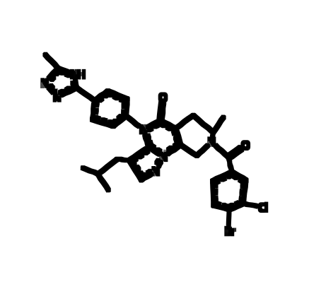 Cc1nnc(-c2ccc(-n3c(=O)c4c(n5ncc(CC(C)C)c35)CN(C(=O)c3ccc(Br)c(Cl)c3)C(C)C4)cc2)[nH]1